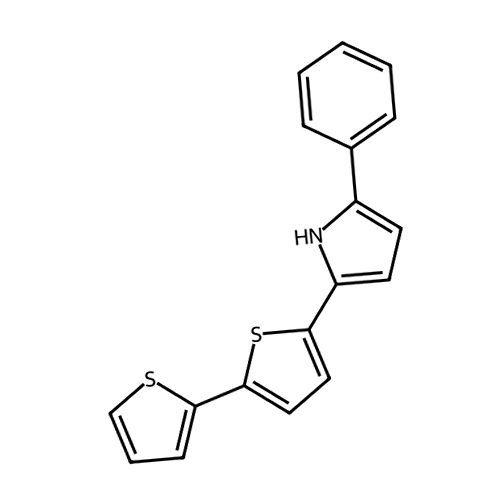 c1ccc(-c2ccc(-c3ccc(-c4cccs4)s3)[nH]2)cc1